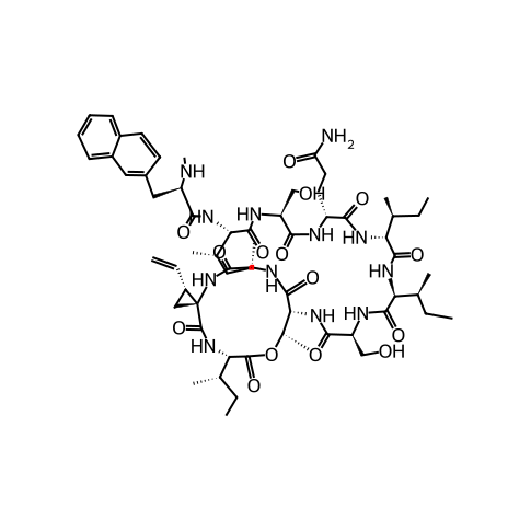 C=C[C@H]1C[C@]12NC(=O)[C@H](C)NC(=O)[C@H](NC(=O)[C@H](CO)NC(=O)[C@@H](NC(=O)[C@H](NC(=O)[C@@H](CCC(N)=O)NC(=O)[C@H](CO)NC(=O)[C@@H](NC(=O)[C@@H](Cc1ccc3ccccc3c1)NC)[C@@H](C)CC)[C@@H](C)CC)[C@@H](C)CC)[C@H](C)OC(=O)[C@H]([C@@H](C)CC)NC2=O